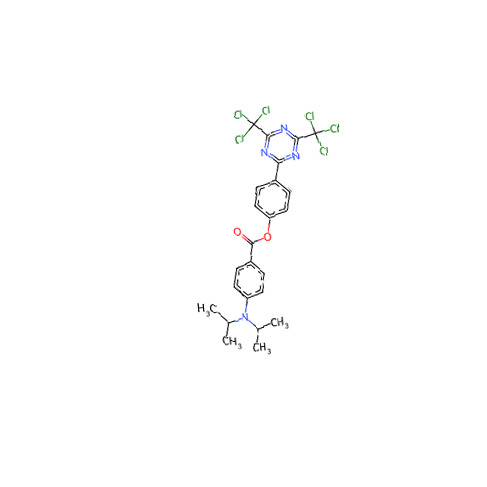 CC(C)N(c1ccc(C(=O)Oc2ccc(-c3nc(C(Cl)(Cl)Cl)nc(C(Cl)(Cl)Cl)n3)cc2)cc1)C(C)C